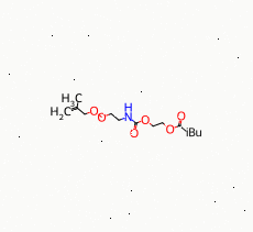 C=C(C)COOCCNC(=O)OCCOC(=O)C(C)CC